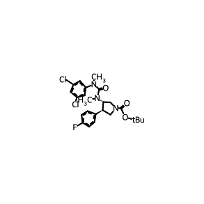 CN(C(=O)N(C)[C@@H]1CN(C(=O)OC(C)(C)C)C[C@H]1c1ccc(F)cc1)c1cc(Cl)cc(Cl)c1